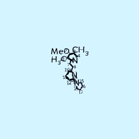 COc1c(C)cnc(/C=C/c2cccc(N3CCCC3)n2)c1C